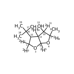 [2H]C1([2H])OC2([2H])OC([2H])(C)C([2H])(O)C2([2H])C1C(C)(C)C